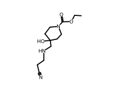 CCOC(=O)N1CCC(O)(CNCCC#N)CC1